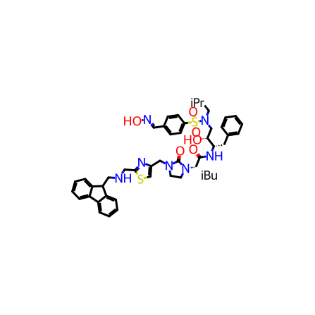 CC[C@H](C)[C@@H](C(=O)N[C@@H](Cc1ccccc1)[C@H](O)CN(CC(C)C)S(=O)(=O)c1ccc(C=NO)cc1)N1CCN(Cc2csc(CNCC3c4ccccc4-c4ccccc43)n2)C1=O